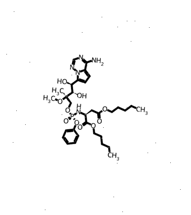 CCCCCOC(=O)C[C@H](NP(=O)(OC[C@@](C)(OC)[C@@H](O)[C@@H](O)c1ccc2c(N)ncnn12)Oc1ccccc1)C(=O)OCCCCC